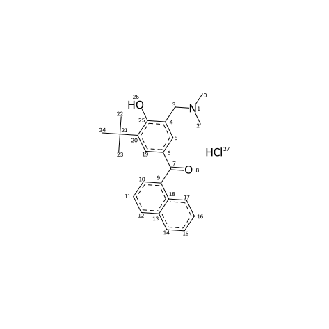 CN(C)Cc1cc(C(=O)c2cccc3ccccc23)cc(C(C)(C)C)c1O.Cl